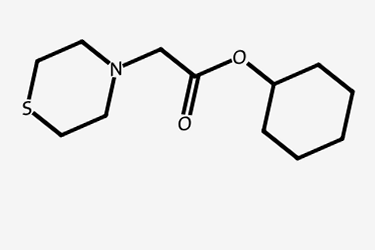 O=C(CN1CCSCC1)OC1CCCCC1